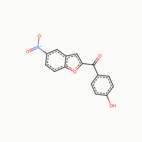 O=C(c1ccc(O)cc1)c1cc2cc([N+](=O)[O-])ccc2o1